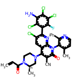 C=CC(=O)N1CCN(c2c(C#N)c(=O)n(-c3c(C)ccnc3C(C)C)c3nc(-c4c(F)c(Cl)c(Cl)c(N)c4Cl)c(Cl)cc23)C[C@H]1C